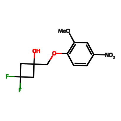 COc1cc([N+](=O)[O-])ccc1OCC1(O)CC(F)(F)C1